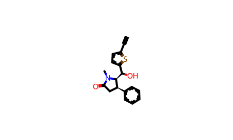 C#Cc1ccc(C(O)[C@H]2[C@@H](c3ccccc3)CC(=O)N2C)s1